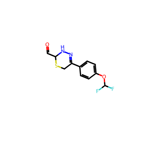 O=CC1NN=C(c2ccc(OC(F)F)cc2)CS1